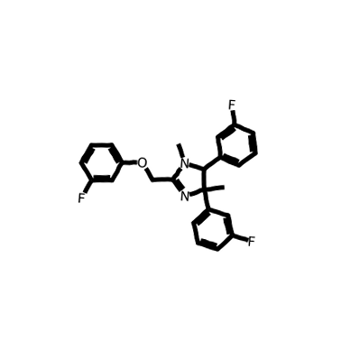 CN1C(COc2cccc(F)c2)=NC(C)(c2cccc(F)c2)C1c1cccc(F)c1